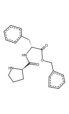 O=C(N[C@H](Cc1ccccc1)C(=O)OCc1ccccc1)[C@H]1CCCN1